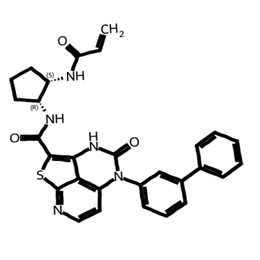 C=CC(=O)N[C@H]1CCC[C@H]1NC(=O)c1sc2nccc3c2c1NC(=O)N3c1cccc(-c2ccccc2)c1